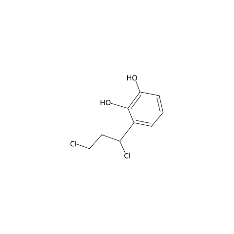 Oc1cccc(C(Cl)CCCl)c1O